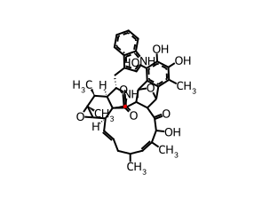 C/C1=C/C(C)C/C=C/[C@H]2C3O[C@]3(C)[C@@H](C)[C@H]3[C@H](Cc4c[nH]c5ccccc45)NC(=O)[C@]32C(=O)C2C3OC(c4c(C)c(O)c(O)c(O)c43)C2C(=O)C1O